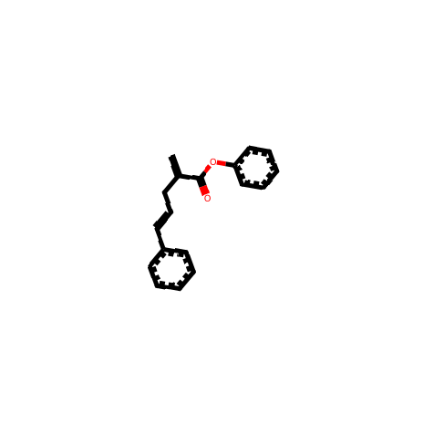 C=C(CC=Cc1ccccc1)C(=O)Oc1ccccc1